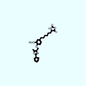 COc1cc(CCCCCCC2NC(=O)OC2=O)ccc1OCc1nc(-c2ccccc2)oc1C